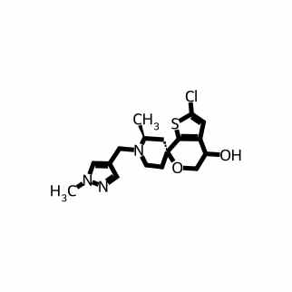 C[C@H]1C[C@@]2(CCN1Cc1cnn(C)c1)OCC(O)c1cc(Cl)sc12